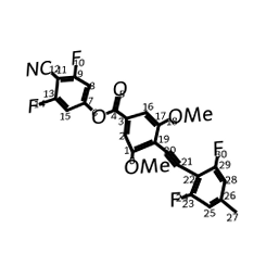 COc1cc(C(=O)Oc2cc(F)c(C#N)c(F)c2)cc(OC)c1C#Cc1c(F)cc(C)cc1F